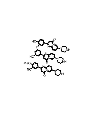 COc1ccc(-c2cc(=O)n3cc(N4CCNCC4)ccc3n2)cc1C#N.N#Cc1cccc(-c2cc(=O)n3cc(N4CCNCC4)ccc3n2)c1.O=c1cc(-c2ccc(O)c(F)c2)nc2ccc(N3CCNCC3)cn12